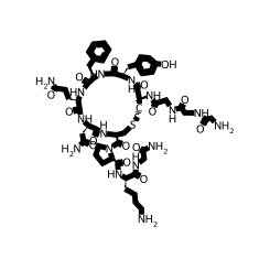 NCCCC[C@H](NC(=O)[C@H]1CCCN1C(=O)[C@@H]1CSSC[C@H](NC(=O)CNC(=O)CNC(=O)CN)C(=O)N[C@@H](Cc2ccc(O)cc2)C(=O)N[C@H](Cc2ccccc2)C(=O)N[C@@H](CCC(N)=O)C(=O)N[C@@H](CC(N)=O)C(=O)N1)C(=O)NCC(N)=O